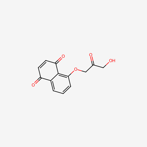 O=C(CO)COc1cccc2c1C(=O)C=CC2=O